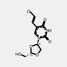 O=c1[nH]c(=O)n([C@H]2CO[C@H](CO)O2)cc1C=CCl